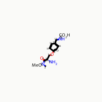 CON(C)C(=O)[C@@H](N)COc1ccc(CNC(=O)O)cc1